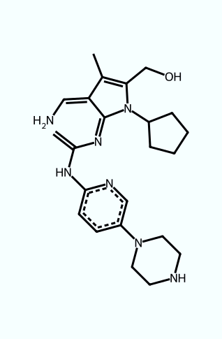 C=C(/N=C1\C(=C/N)C(C)=C(CO)N1C1CCCC1)Nc1ccc(N2CCNCC2)cn1